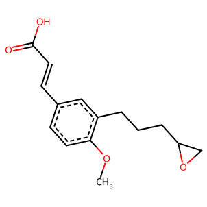 COc1ccc(/C=C/C(=O)O)cc1CCCC1CO1